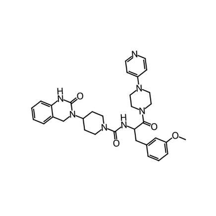 COc1cccc(CC(NC(=O)N2CCC(N3Cc4ccccc4NC3=O)CC2)C(=O)N2CCN(c3ccncc3)CC2)c1